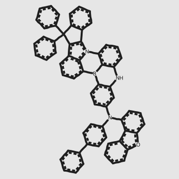 c1ccc(-c2ccc(N(c3ccc4c(c3)Nc3cccc5c3B4c3cccc4c6c(n-5c34)-c3ccccc3C6(c3ccccc3)c3ccccc3)c3cccc4oc5ccccc5c34)cc2)cc1